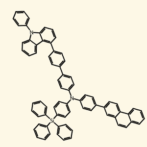 c1ccc(-n2c3ccccc3c3c(-c4ccc(-c5ccc(N(c6ccc(-c7ccc8c(ccc9ccccc98)c7)cc6)c6ccc([Si](c7ccccc7)(c7ccccc7)c7ccccc7)cc6)cc5)cc4)cccc32)cc1